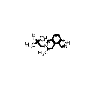 C[C@@H]1Cc2c(ccc3[nH]ncc23)CN1CC(C)(C)F